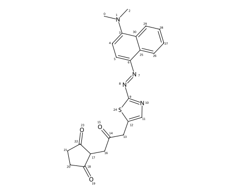 CN(C)c1ccc(N=Nc2ncc(CC(=O)CC3C(=O)CCC3=O)s2)c2ccccc12